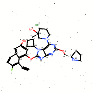 C#Cc1c(F)ccc2cc(O)cc(Oc3nc4nc(OC[C@@H]5CCCN5)nc(N5CCC[C@@](C)(O)C5)c4n3C3CCC3)c12.Cl